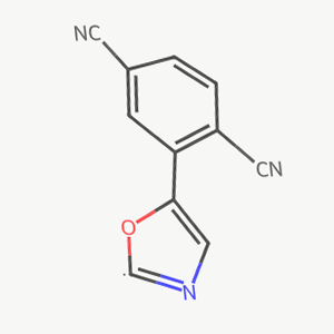 N#Cc1ccc(C#N)c(-c2cn[c]o2)c1